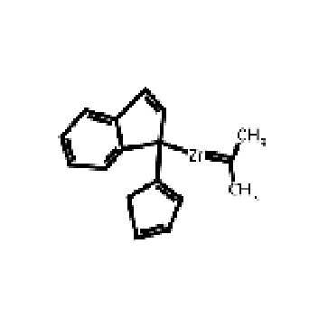 C[C](C)=[Zr][C]1(C2=CC=CC2)C=Cc2ccccc21